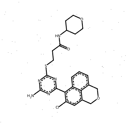 Nc1nc(SCCC(=O)NC2CCOCC2)nc(-c2c(Cl)cc3c4c(cccc24)COC3)n1